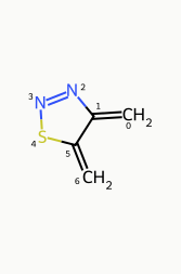 C=c1nnsc1=C